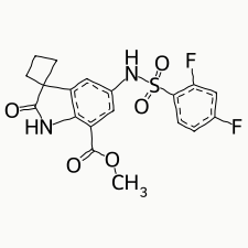 COC(=O)c1cc(NS(=O)(=O)c2ccc(F)cc2F)cc2c1NC(=O)C21CCC1